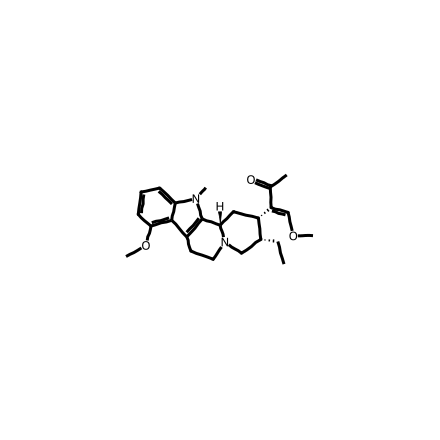 CC[C@@H]1CN2CCc3c(n(C)c4cccc(OC)c34)[C@@H]2C[C@@H]1/C(=C\OC)C(C)=O